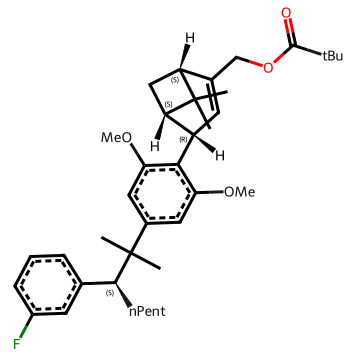 CCCCC[C@@H](c1cccc(F)c1)C(C)(C)c1cc(OC)c([C@H]2C=C(COC(=O)C(C)(C)C)[C@H]3C[C@@H]2C3(C)C)c(OC)c1